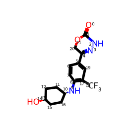 O=C1NN=C(c2ccc(N[C@H]3CC[C@H](O)CC3)c(C(F)(F)F)c2)CO1